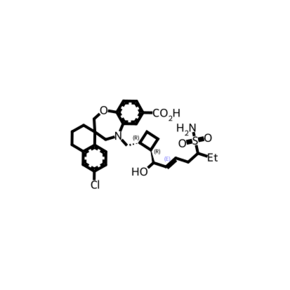 CCC(C/C=C/C(O)[C@@H]1CC[C@H]1CN1CC2(CCCc3cc(Cl)ccc32)COc2ccc(C(=O)O)cc21)S(N)(=O)=O